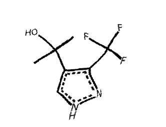 CC(C)(O)c1c[nH]nc1C(F)(F)F